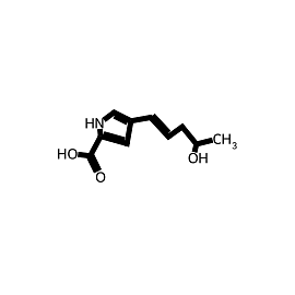 CC(O)CC=Cc1c[nH]c(C(=O)O)c1